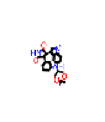 Cn1cc(C2=C(c3cccc(NC4COC(C)(C)OC4)c3)C(=O)NC2=O)c2ccccc21